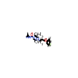 C[C@@H]1CN(C(=O)NC2CC2)[C@@H](C)CN1CCCOc1ccc(F)cc1